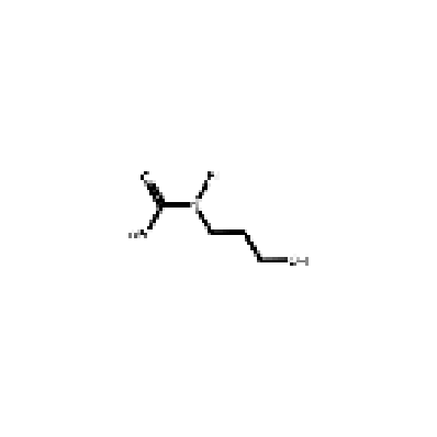 CCCC(=O)N(CC)CCCO